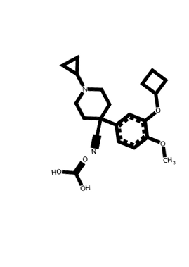 COc1ccc(C2(C#N)CCN(C3CC3)CC2)cc1OC1CCC1.O=C(O)O